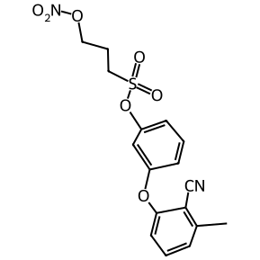 Cc1cccc(Oc2cccc(OS(=O)(=O)CCCO[N+](=O)[O-])c2)c1C#N